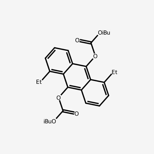 CCc1cccc2c(OC(=O)OCC(C)C)c3c(CC)cccc3c(OC(=O)OCC(C)C)c12